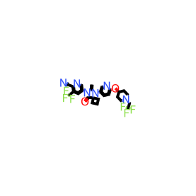 C=C1N(c2cnc(C#N)c(C(F)(F)F)c2)C(=O)C2(CCC2)N1c1ccc(OC2CCN(CC(F)(F)F)CC2)nc1